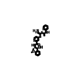 C=C(Nc1ccccn1)S/C(=C\N)Sc1ccnc(C(=O)N[C@@H](COC)[C@@H](O)c2ccccc2)c1